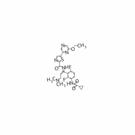 CCOc1cncc(-c2cnc(C(=O)N[C@H](CCN(C)C)c3c(F)ccc(NS(=O)(=O)C4CC4)c3F)s2)n1